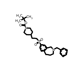 CC(C)(C)OC(=O)N1CCC(CCS(=O)(=O)c2ccc3c(c2)CN(Cc2ccccc2)CCC3)CC1